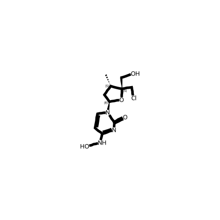 C[C@H]1C[C@H](n2ccc(NO)nc2=O)O[C@@]1(CO)CCl